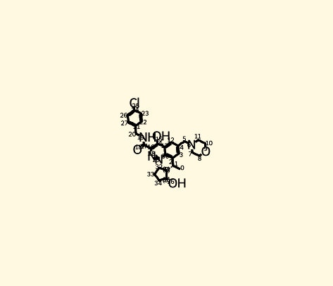 CC(c1cc(CN2CCOCC2)cc2c(O)c(C(=O)NCc3ccc(Cl)cc3)nnc12)[C@H]1CCC[C@@H]1O